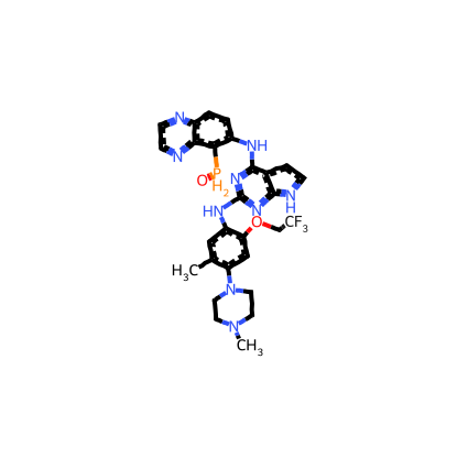 Cc1cc(Nc2nc(Nc3ccc4nccnc4c3[PH2]=O)c3cc[nH]c3n2)c(OCC(F)(F)F)cc1N1CCN(C)CC1